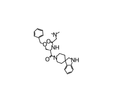 CN(C)CC(=O)N[C@H](COCc1ccccc1)C(=O)N1CCC2(CC1)CNc1ccccc12